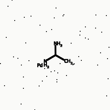 CC(N)N.[Pd]